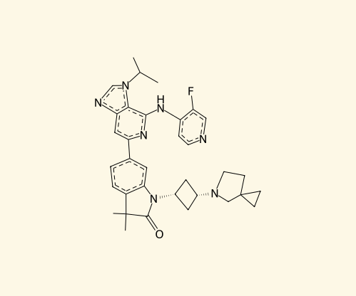 CC(C)n1cnc2cc(-c3ccc4c(c3)N([C@H]3C[C@@H](N5CCC6(CC6)C5)C3)C(=O)C4(C)C)nc(Nc3ccncc3F)c21